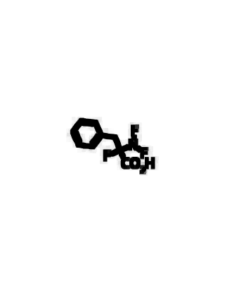 O=C(O)C(F)(Cc1ccccc1)N(F)F